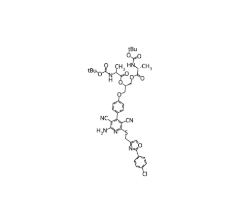 CC(NC(=O)OC(C)(C)C)C(=O)O[C@@H](COC(=O)[C@@H](C)NC(=O)OC(C)(C)C)COc1ccc(-c2c(C#N)c(N)nc(SCc3coc(-c4ccc(Cl)cc4)n3)c2C#N)cc1